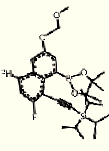 [2H]c1cc(F)c(C#C[Si](C(C)C)(C(C)C)C(C)C)c2c(B3OC(C)(C)C(C)(C)O3)cc(OCOC)cc12